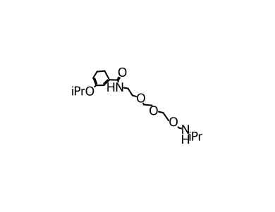 CC(C)NCOCCOCCOCCNC(=O)C1=CC(OC(C)C)=CCC1